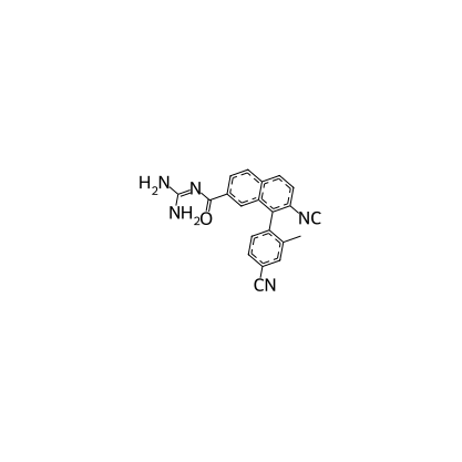 [C-]#[N+]c1ccc2ccc(C(=O)N=C(N)N)cc2c1-c1ccc(C#N)cc1C